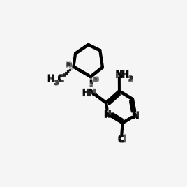 C[C@@H]1CCCC[C@@H]1Nc1nc(Cl)ncc1N